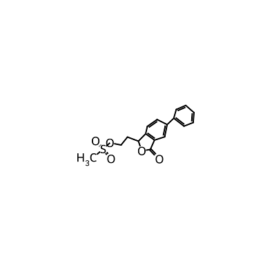 CS(=O)(=O)OCCC1OC(=O)c2cc(-c3ccccc3)ccc21